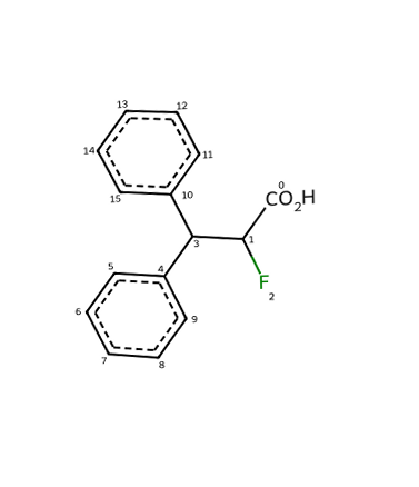 O=C(O)C(F)C(c1ccccc1)c1ccccc1